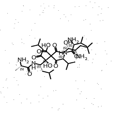 CC(C)CC(=O)[C@@](O)([C@H](CC(C)C)NC(=O)[C@H](C)N)C(C(=O)O)(C(=O)C[C@H](O)[C@@H](N)CC(C)C)C(=O)[C@@H](NC(=O)[C@@H](N)C(C)C)C(C)C